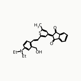 CCN(CC)c1ccc(C=CC2=CC(=C3C(=O)c4ccccc4C3=O)C=C(C)S2)c(CO)c1